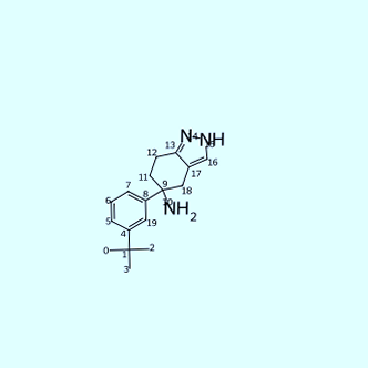 CC(C)(C)c1cccc(C2(N)CCc3n[nH]cc3C2)c1